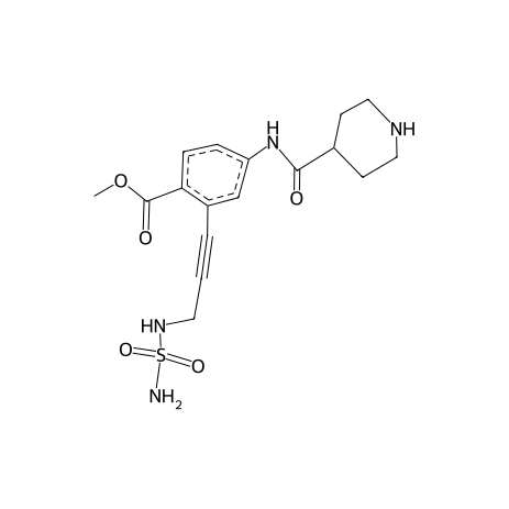 COC(=O)c1ccc(NC(=O)C2CCNCC2)cc1C#CCNS(N)(=O)=O